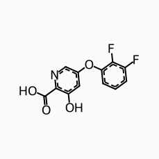 O=C(O)c1ncc(Oc2cccc(F)c2F)cc1O